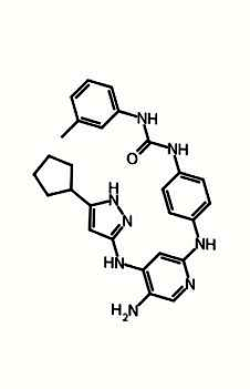 Cc1cccc(NC(=O)Nc2ccc(Nc3cc(Nc4cc(C5CCCC5)[nH]n4)c(N)cn3)cc2)c1